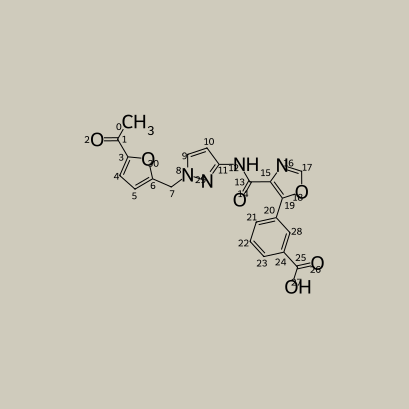 CC(=O)c1ccc(Cn2ccc(NC(=O)c3ncoc3-c3cccc(C(=O)O)c3)n2)o1